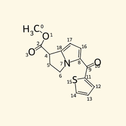 COC(=O)C1CCn2c(C(=O)c3cccs3)ccc21